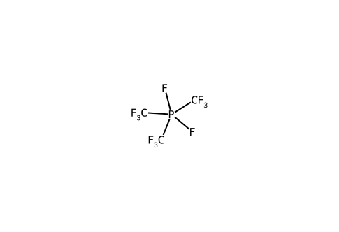 FC(F)(F)P(F)(F)(C(F)(F)F)C(F)(F)F